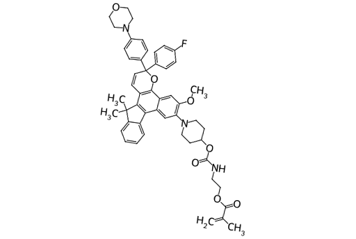 C=C(C)C(=O)OCCNC(=O)OC1CCN(c2cc3c4c(c5c(c3cc2OC)OC(c2ccc(F)cc2)(c2ccc(N3CCOCC3)cc2)C=C5)C(C)(C)c2ccccc2-4)CC1